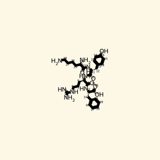 N=C(N)NCCC[C@@H](NC(=O)[C@@H](Cc1ccc(O)cc1)NC(=O)[C@H](N)CCCCN)C(=O)N[C@@H](Cc1ccccc1)C(=O)O